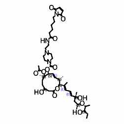 CC[C@H](O)C(C)O[C@@H](C)C[C@@](C)(O)/C=C/C=C(\C)[C@H]1OC(=O)C[C@H](O)CC[C@@](C)(OC(C)=O)[C@@H](OC(=O)N2CCN(CCNC(=O)CCCCCN3C(=O)C=CC3=O)CC2)/C=C/[C@@H]1C